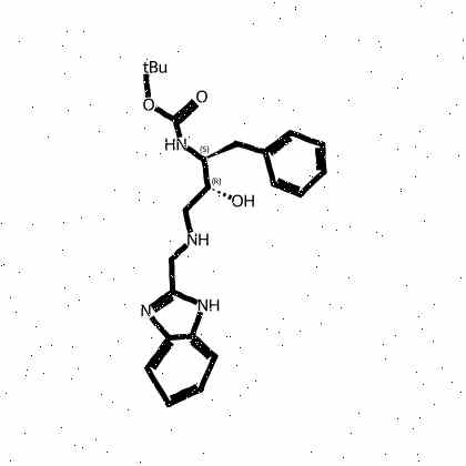 CC(C)(C)OC(=O)N[C@@H](Cc1ccccc1)[C@H](O)CNCc1nc2ccccc2[nH]1